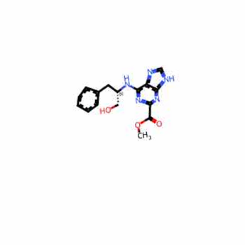 COC(=O)c1nc(N[C@H](CO)Cc2ccccc2)c2nc[nH]c2n1